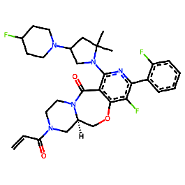 C=CC(=O)N1CCN2C(=O)c3c(N4CC(N5CCC(F)CC5)CC4(C)C)nc(-c4ccccc4F)c(F)c3OC[C@H]2C1